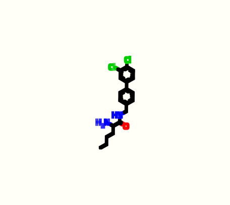 CCCCC(N)C(=O)NCc1ccc(-c2ccc(Cl)c(Cl)c2)cc1